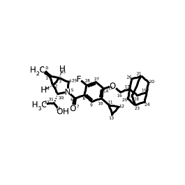 C=C1[C@H]2[C@@H]1CN(C(=O)c1cc(C3CC3)c(OCC34CC5CC(CC(C5)C3)C4)cc1F)[C@@H]2C(C)O